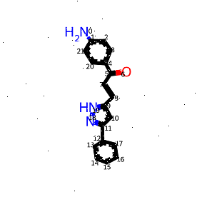 Nc1ccc(C(=O)/C=C/c2cc(-c3ccccc3)n[nH]2)cc1